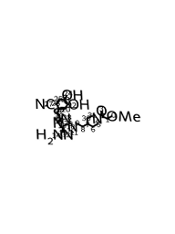 COCC(=O)N1CCC(CCn2cnc(N)c3nc(Sc4cc(O)c(O)cc4C#N)nc2-3)CC1